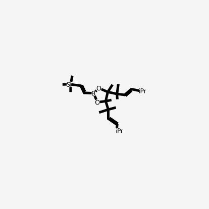 CC(C)C=CC(C)(C)C1(C)OB(C=C[Si](C)(C)C)OC1(C)C(C)(C)C=CC(C)C